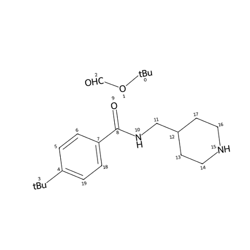 CC(C)(C)OC=O.CC(C)(C)c1ccc(C(=O)NCC2CCNCC2)cc1